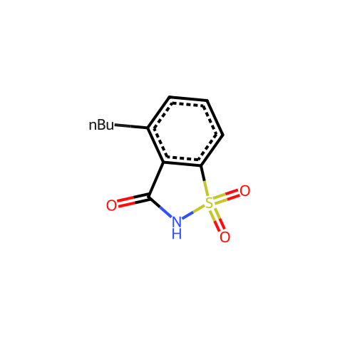 CCCCc1cccc2c1C(=O)NS2(=O)=O